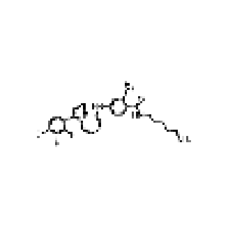 C=CCCCCNC(=O)c1ccc(NC2=CCC=Cn3c(-c4ccc(Cl)c(F)c4F)cnc32)cc1C